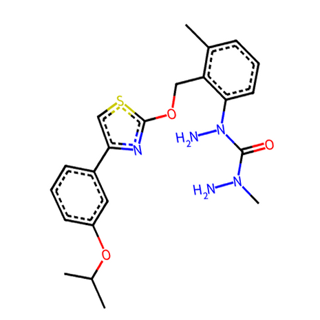 Cc1cccc(N(N)C(=O)N(C)N)c1COc1nc(-c2cccc(OC(C)C)c2)cs1